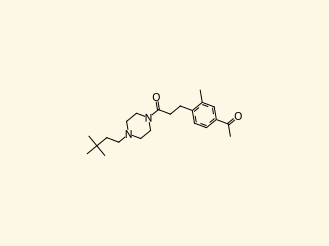 CC(=O)c1ccc(CCC(=O)N2CCN(CCC(C)(C)C)CC2)c(C)c1